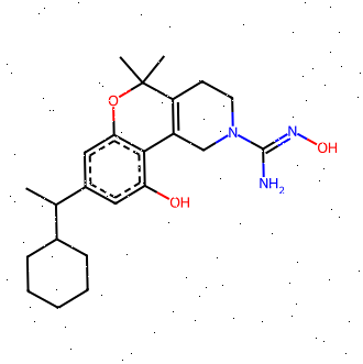 CC(c1cc(O)c2c(c1)OC(C)(C)C1=C2CN(C(N)=NO)CC1)C1CCCCC1